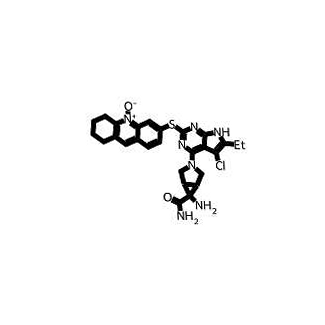 CCc1[nH]c2nc(Sc3ccc4cc5c([n+]([O-])c4c3)CCCC5)nc(N3CC4C(C3)C4(N)C(N)=O)c2c1Cl